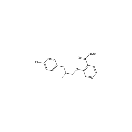 COC(=O)c1ccncc1OCC(C)Cc1ccc(Cl)cc1